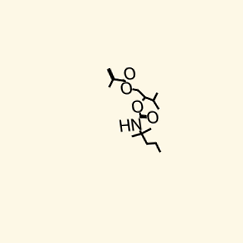 C=C(C)C(=O)OCC(OC(=O)NC(C)(C)CCC)C(C)C